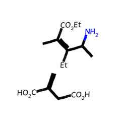 C=C(CC(=O)O)C(=O)O.CCOC(=O)C(C)=C(CC)C(C)N